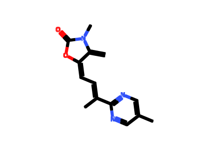 C=c1/c(=C\C=C(/C)c2ncc(C)cn2)oc(=O)n1C